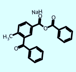 Cc1ccc(C(=O)OC(=O)c2ccccc2)cc1C(=O)c1ccccc1.[NaH]